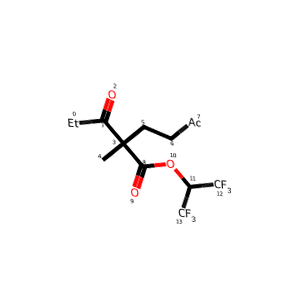 CCC(=O)C(C)(CCC(C)=O)C(=O)OC(C(F)(F)F)C(F)(F)F